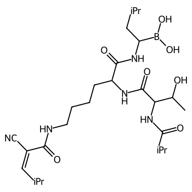 CC(C)C=C(C#N)C(=O)NCCCCC(NC(=O)C(NC(=O)C(C)C)C(C)O)C(=O)NC(CC(C)C)B(O)O